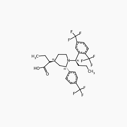 CCC[C@H](c1cc(C(F)(F)F)ccc1C(F)(F)F)N1CC[C@H](C(CC)C(=O)O)C[C@H]1c1ccc(C(F)(F)F)cc1